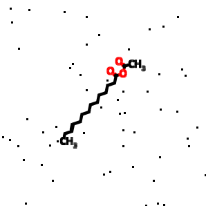 CCC=CCCCCCCCCCC(=O)OC(C)=O